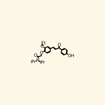 CCOc1cc(/C=C/C(=O)c2ccc(O)cc2)ccc1OCC(=O)N(C(C)C)C(C)C